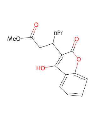 CCCC(CC(=O)OC)c1c(O)c2ccccc2oc1=O